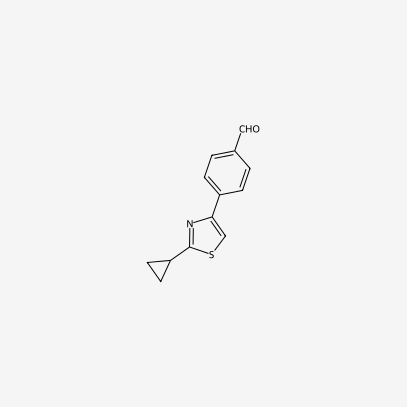 O=Cc1ccc(-c2csc(C3CC3)n2)cc1